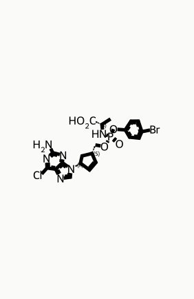 C[C@H](NP(=O)(OC[C@@H]1C=C[C@H](n2cnc3c(Cl)nc(N)nc32)C1)Oc1ccc(Br)cc1)C(=O)O